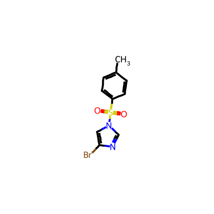 Cc1ccc(S(=O)(=O)n2cnc(Br)c2)cc1